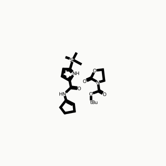 CC(C)(C)OC(=O)N1CCOC1=O.C[Si](C)(C)c1ccc(C(=O)NC2=CCCC2)[nH]1